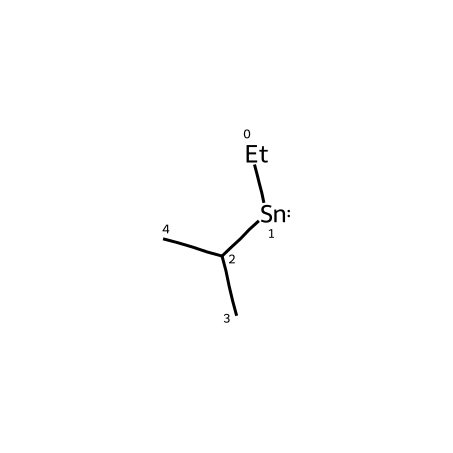 C[CH2][Sn][CH](C)C